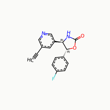 C#Cc1cncc([C@H]2NC(=O)O[C@@H]2c2ccc(F)cc2)c1